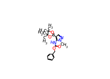 Cn1ncc(B2OC(C)(C)C(C)(C)O2)c1NC(=O)OCc1ccccc1